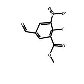 COC(=O)c1cc(C=O)cc([N+](=O)[O-])c1F